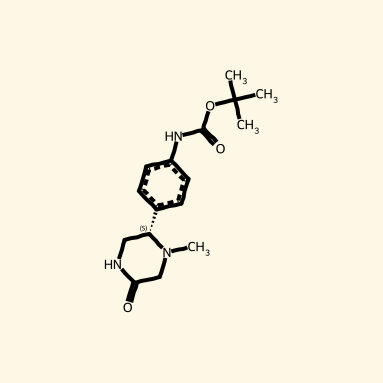 CN1CC(=O)NC[C@@H]1c1ccc(NC(=O)OC(C)(C)C)cc1